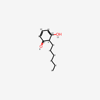 CCCCCCC1C(=O)[C]=CC=C1O